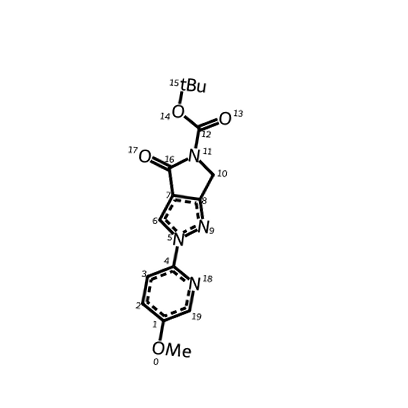 COc1ccc(-n2cc3c(n2)CN(C(=O)OC(C)(C)C)C3=O)nc1